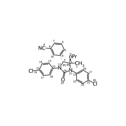 CCC[C@]1(C)[C@@H](c2cccc(C#N)c2)N(c2ccc(Cl)cc2)C(=O)N1c1ccc(Cl)cc1